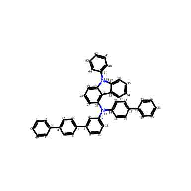 c1ccc(-c2ccc(-c3cccc(N(c4ccc(-c5ccccc5)cc4)c4cccc5c4c4ccccc4n5-c4ccccc4)c3)cc2)cc1